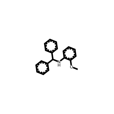 COc1ccccc1NC(c1ccccc1)c1ccccc1